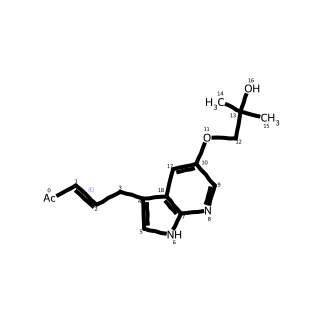 CC(=O)/C=C/Cc1c[nH]c2ncc(OCC(C)(C)O)cc12